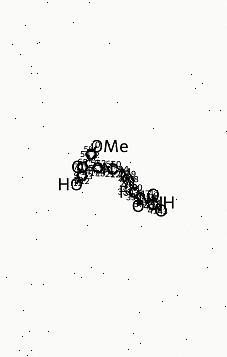 COc1ccc(C2COc3cc(O)ccc3[C@H]2c2ccc(N3CCC(CN4CCN(c5cc6c(cc5F)C(=O)N([C@H]5CCC(=O)NC5=O)C6)CC4)CC3)cc2)cc1